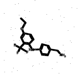 CCOc1ccc(Nc2ccc(CN)cc2)c(C(F)(F)F)c1